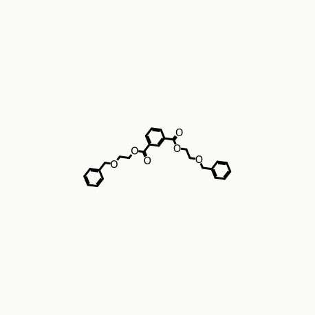 O=C(OCCOCc1ccccc1)c1cccc(C(=O)OCCOCc2ccccc2)c1